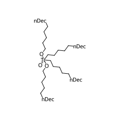 CCCCCCCCCCCCCCC[O][Ti](=[O])([CH2]CCCCCCCCCCCCCC)([CH2]CCCCCCCCCCCCCC)[O]CCCCCCCCCCCCCCC